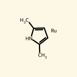 Cc1ccc(C)[nH]1.[Ru]